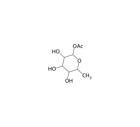 CC(=O)OC1OC(C)C(O)C(O)C1O